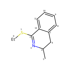 CCSC1=NC(C)Cc2ccccc21